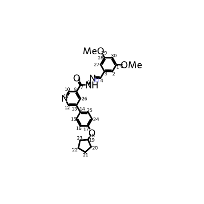 COc1cc(/C=N/NC(=O)c2cncc(-c3ccc(OC4CCCC4)cc3)c2)cc(OC)c1